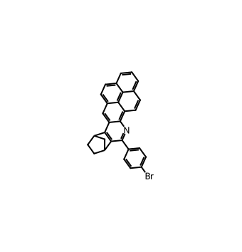 Brc1ccc(-c2nc3c(cc4ccc5cccc6ccc3c4c56)c3c2C2CCC3C2)cc1